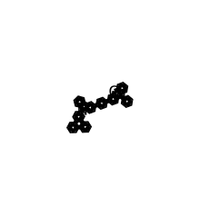 c1ccc(N2c3ccccc3Oc3cc(-c4ccc(-c5ccc6c(c5)c5ccccc5n6-c5ccc6c7ccccc7c7ccccc7c6c5)cc4)ccc32)cc1